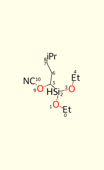 CCO[SiH](OCC)C(CCC(C)C)OC#N